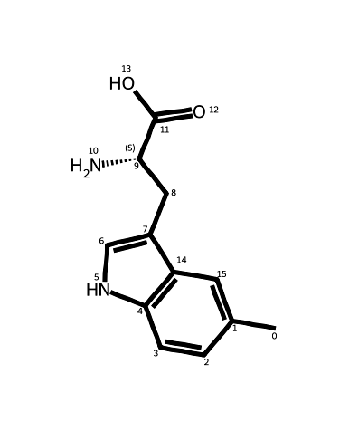 Cc1ccc2[nH]cc(C[C@H](N)C(=O)O)c2c1